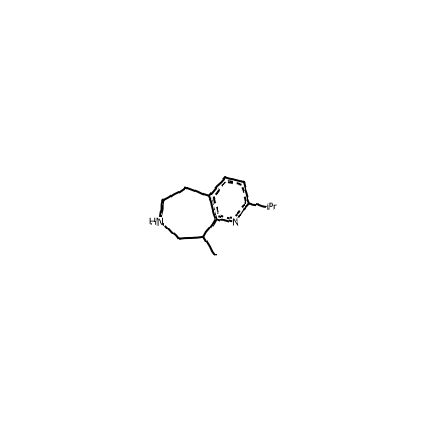 CC(C)c1ccc2c(n1)C(C)CNCC2